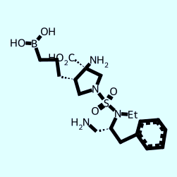 CCN([C@@H](CN)Cc1ccccc1)S(=O)(=O)N1C[C@H](CCCB(O)O)[C@](N)(C(=O)O)C1